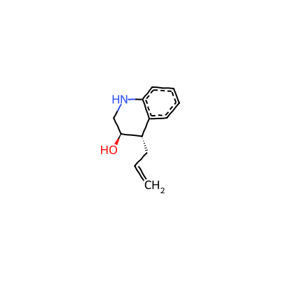 C=CC[C@H]1c2ccccc2NC[C@@H]1O